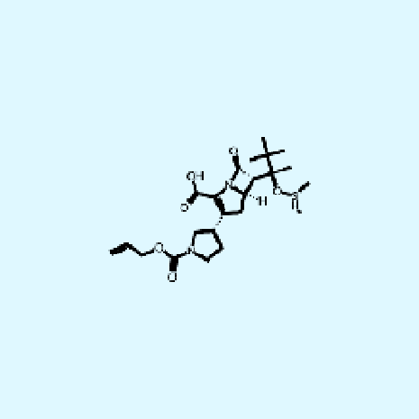 C=CCOC(=O)N1CC[C@@H](C2=C(C(=O)O)N3C(=O)[C@H]([C@@](C)(O[SiH](C)C)C(C)(C)C)[C@H]3C2)C1